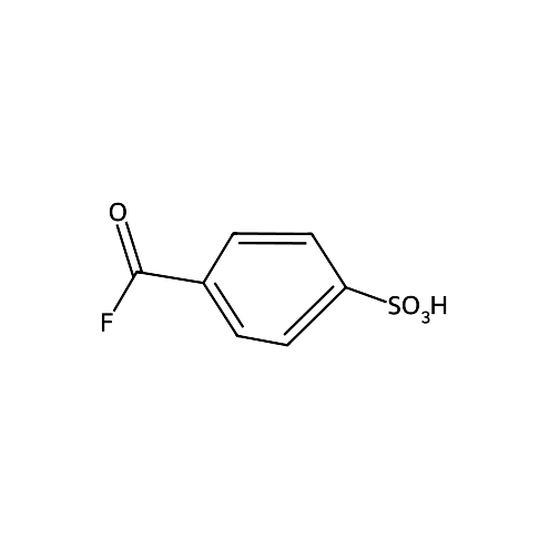 O=C(F)c1ccc(S(=O)(=O)O)cc1